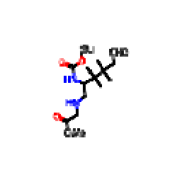 COC(=O)CNCC(NC(=O)OC(C)(C)C)C(C)(C)C(C)(C)CC=O